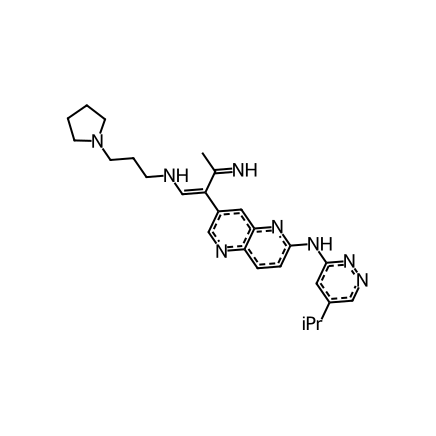 CC(=N)/C(=C\NCCCN1CCCC1)c1cnc2ccc(Nc3cc(C(C)C)cnn3)nc2c1